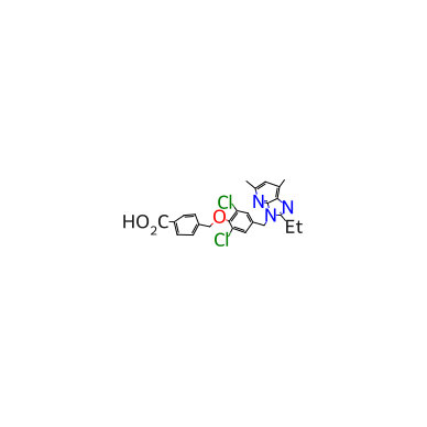 CCc1nc2c(C)cc(C)nc2n1Cc1cc(Cl)c(OCc2ccc(C(=O)O)cc2)c(Cl)c1